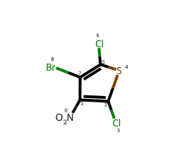 O=[N+]([O-])c1c(Cl)sc(Cl)c1Br